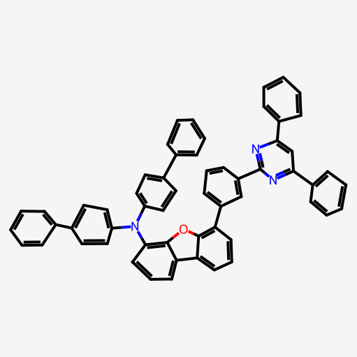 c1ccc(-c2ccc(N(c3ccc(-c4ccccc4)cc3)c3cccc4c3oc3c(-c5cccc(-c6nc(-c7ccccc7)cc(-c7ccccc7)n6)c5)cccc34)cc2)cc1